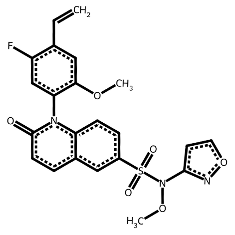 C=Cc1cc(OC)c(-n2c(=O)ccc3cc(S(=O)(=O)N(OC)c4ccon4)ccc32)cc1F